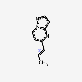 C/C=C/c1ccn2nccc2n1